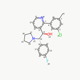 Cc1cc(Cl)cc(-c2ncccc2[C@@H](O)[C@H](c2ccc(F)cc2)N2CCCC2)c1